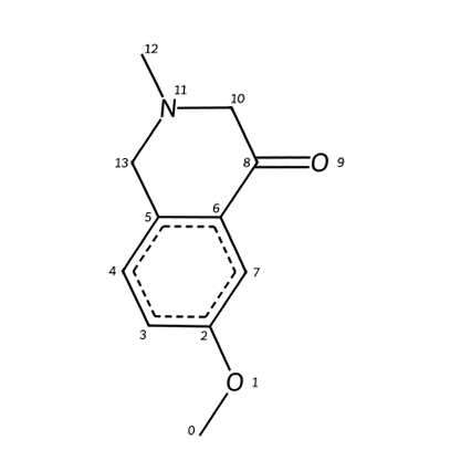 COc1ccc2c(c1)C(=O)CN(C)C2